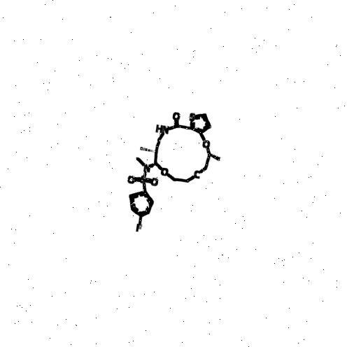 C[C@@H]1CNC(=O)c2sccc2O[C@@H](C)CCCCO[C@H]1N(C)S(=O)(=O)c1ccc(F)cc1